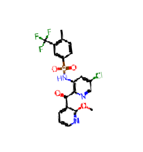 COc1ncccc1C(=O)c1ncc(Cl)cc1NS(=O)(=O)c1ccc(C)c(C(F)(F)F)c1